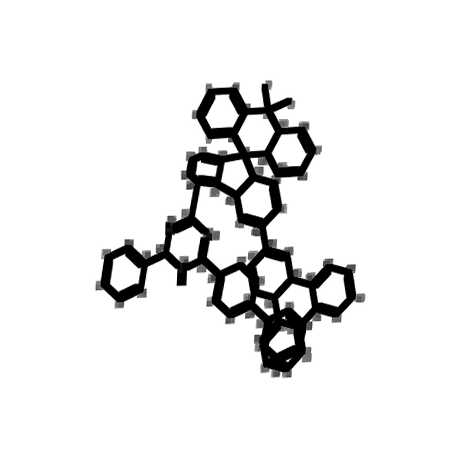 CC1(C)c2ccccc2C2(c3cccc(C4=NC(c5ccccc5)NC(C5=CC=C(c6ccccc6)CC5)=N4)c3C3C=C(C4=CC5c6ccccc6-c6ccccc6C5C=C4)C=CC32)C2C=CC=CC21